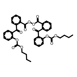 CCCCOC(=O)Oc1ccccc1C(=O)c1ccccc1C(=O)OOC(=O)c1ccccc1C(=O)c1ccccc1OC(=O)OCCCC